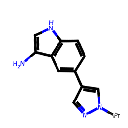 CC(C)n1cc(-c2ccc3[nH]cc(N)c3c2)cn1